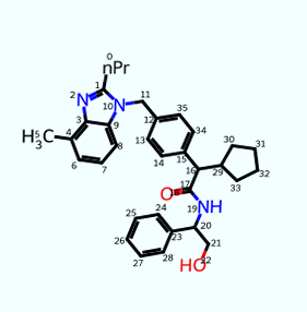 CCCc1nc2c(C)cccc2n1Cc1ccc(C(C(=O)NC(CO)c2ccccc2)C2CCCC2)cc1